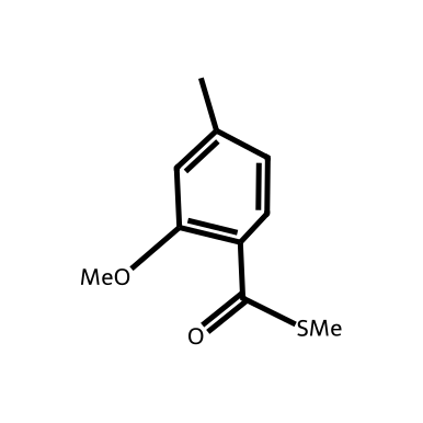 COc1cc(C)ccc1C(=O)SC